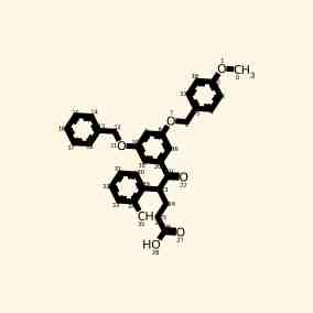 COc1ccc(COc2cc(OCc3ccccc3)cc(C(=O)C(CCC(=O)O)c3ccccc3C)c2)cc1